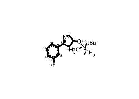 CC(C)(C)[Si](C)(C)OC1CN=C(c2cccc(F)c2)C1